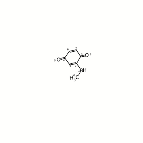 CBC1=CC(=O)C=CC1=O